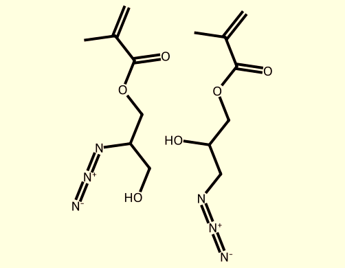 C=C(C)C(=O)OCC(CO)N=[N+]=[N-].C=C(C)C(=O)OCC(O)CN=[N+]=[N-]